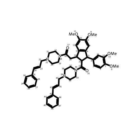 COc1ccc(C2c3cc(OC)c(OC)cc3C(CC(=O)N3CCN(C/C=C/c4ccccc4)CC3)C2C(=O)N2CCN(C/C=C/c3ccccc3)CC2)cc1OC